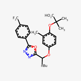 CCCCC(Oc1ccc(OC(C)(C)C(=O)O)c(C)c1)c1nnc(-c2ccc(C(F)(F)F)cc2)o1